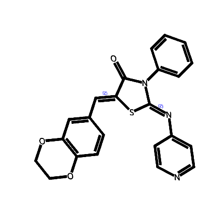 O=C1/C(=C/c2ccc3c(c2)OCCO3)S/C(=N\c2ccncc2)N1c1ccccc1